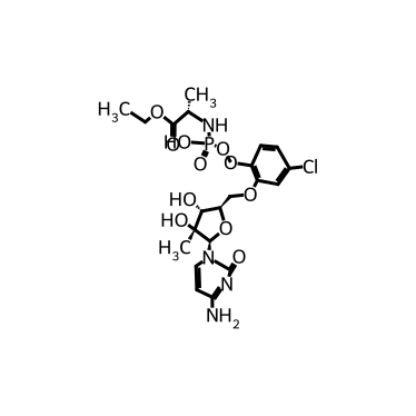 CCOC(=O)[C@H](C)NP(=O)(O)OOc1ccc(Cl)cc1OC[C@H]1O[C@@H](n2ccc(N)nc2=O)[C@](C)(O)[C@@H]1O